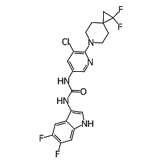 O=C(Nc1cnc(N2CCC3(CC2)CC3(F)F)c(Cl)c1)Nc1c[nH]c2cc(F)c(F)cc12